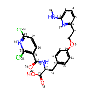 CNc1cccc(CCOc2ccc(C[C@H](NC(=O)c3ccc(Cl)nc3Cl)C(=O)O)cc2)n1